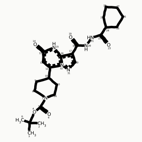 CC(C)(C)OC(=O)N1CCC(c2cc(=O)[nH]c3c(C(=O)NNC(=O)C4CCCCC4)cnn23)CC1